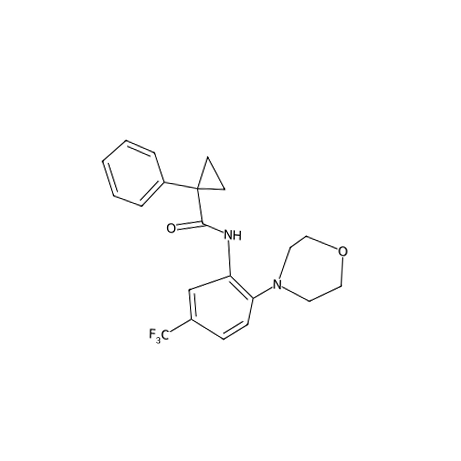 O=C(Nc1cc(C(F)(F)F)ccc1N1CCOCC1)C1(c2ccccc2)CC1